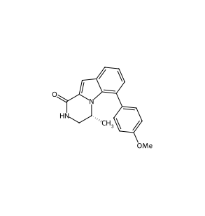 COc1ccc(-c2cccc3cc4n(c23)[C@H](C)CNC4=O)cc1